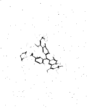 CC1(C)C=C(CS(=O)(=O)O)c2cc3c(cc2=N1)Oc1cc2c(cc1C=3c1cc(C(=O)ON3C(=O)CCC3=O)ccc1C(=O)O)C(CS(=O)(=O)O)=CC(C)(C)N2